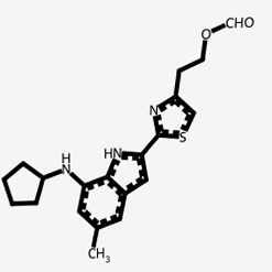 Cc1cc(NC2CCCC2)c2[nH]c(-c3nc(CCOC=O)cs3)cc2c1